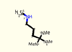 CNC(CCCN[SiH3])(NC)NC